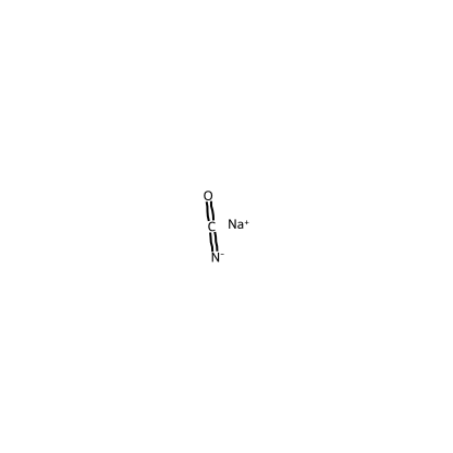 [N-]=C=O.[Na+]